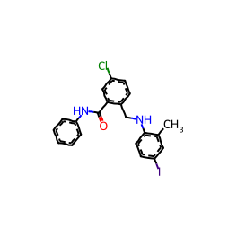 Cc1cc(I)ccc1NCc1ccc(Cl)cc1C(=O)Nc1ccccc1